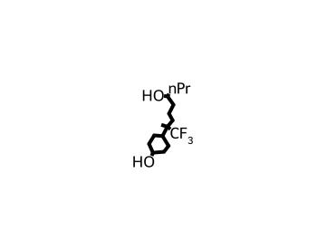 CCCC(O)CCCC(C)(C1CCC(O)CC1)C(F)(F)F